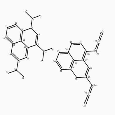 CC(C)C1=CC(C(C)C)c2cccc3cc(C(C)C)cc1c23.O=C=NC1=Cc2c(N=C=O)ccc3cccc(c23)C1